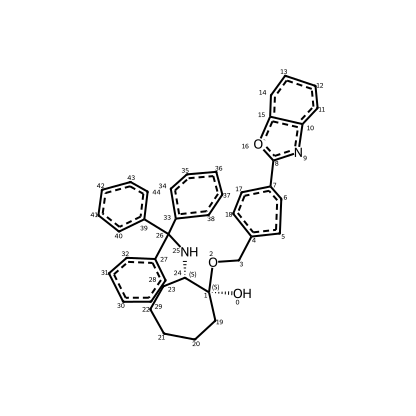 O[C@]1(OCc2ccc(-c3nc4ccccc4o3)cc2)CCCCC[C@@H]1NC(c1ccccc1)(c1ccccc1)c1ccccc1